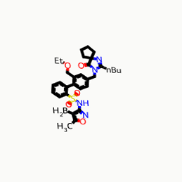 Bc1c(NS(=O)(=O)c2ccccc2-c2ccc(CN3C(=O)C4(CCCC4)N=C3CCCC)cc2COCC)noc1C